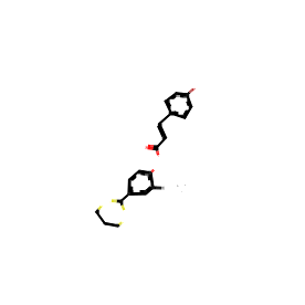 COc1cc(C2SCCCS2)ccc1OC(=O)/C=C/c1ccc(Br)cc1